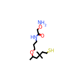 CC(CC(C)(C)CCS)OCCCNC(=O)CON